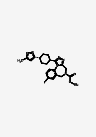 Cc1cc([C@H]2CC[C@H](c3nnc4n3-c3ccc(F)cc3CN(C(=O)OC(C)(C)C)C4)CC2)no1